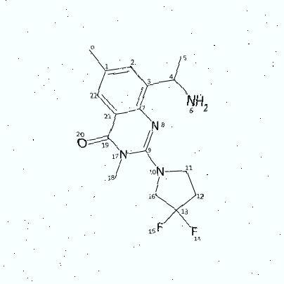 Cc1cc(C(C)N)c2nc(N3CCC(F)(F)C3)n(C)c(=O)c2c1